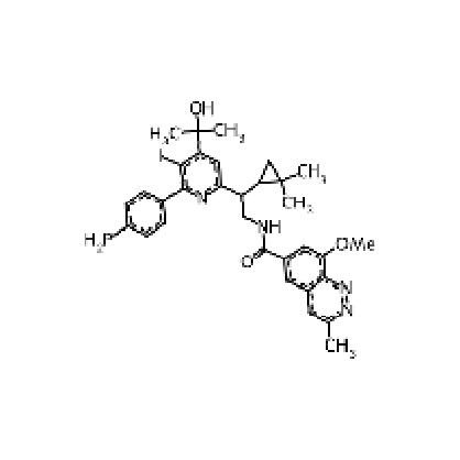 COc1cc(C(=O)NCC(c2cc(C(C)(C)O)c(I)c(-c3ccc(P)cc3)n2)C2CC2(C)C)cc2cc(C)nnc12